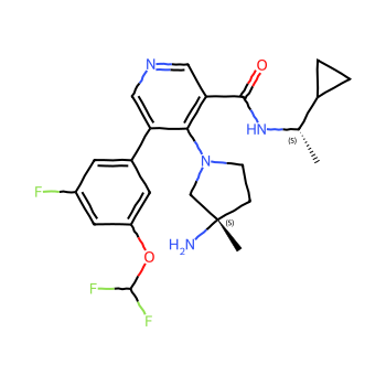 C[C@H](NC(=O)c1cncc(-c2cc(F)cc(OC(F)F)c2)c1N1CC[C@](C)(N)C1)C1CC1